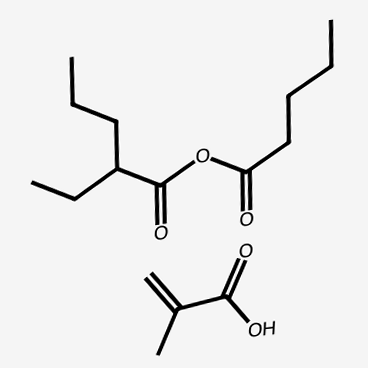 C=C(C)C(=O)O.CCCCC(=O)OC(=O)C(CC)CCC